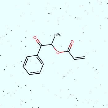 C=CC(=O)OC(CCC)C(=O)c1ccccc1